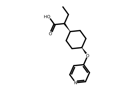 CCC(C(=O)O)[C@H]1CC[C@@H](Oc2ccncc2)CC1